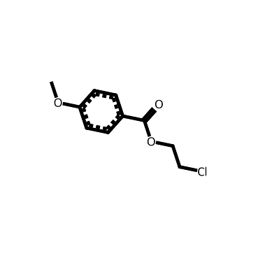 COc1ccc(C(=O)OCCCl)cc1